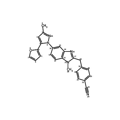 Cc1cc(-c2ccco2)n(-c2ccc3c(c2)nc(Cc2ccc(C#N)cc2)n3C)n1